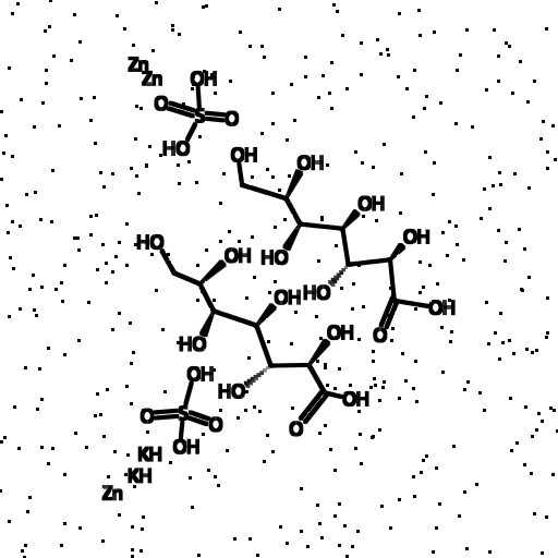 O=C(O)[C@H](O)[C@H](O)[C@H](O)[C@@H](O)[C@H](O)CO.O=C(O)[C@H](O)[C@H](O)[C@H](O)[C@@H](O)[C@H](O)CO.O=S(=O)(O)O.O=S(=O)(O)O.[KH].[KH].[Zn].[Zn].[Zn]